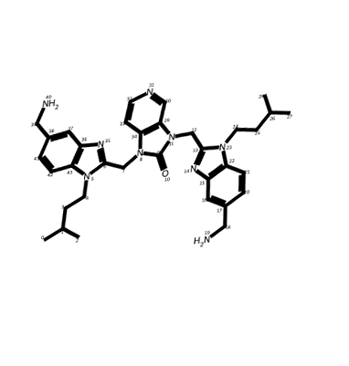 CC(C)CCn1c(Cn2c(=O)n(Cc3nc4cc(CN)ccc4n3CCC(C)C)c3cnccc32)nc2cc(CN)ccc21